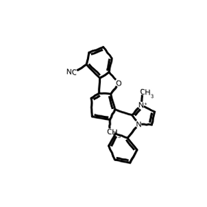 Cc1ccc2c(oc3cccc(C#N)c32)c1-c1n(-c2ccccc2)cc[n+]1C